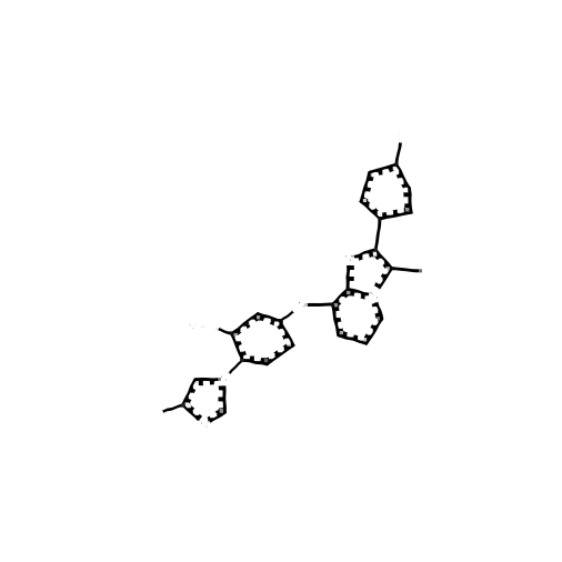 COc1cc(Nc2cccn3c(I)c(-c4ccc(F)cc4)nc23)ccc1-n1cnc(C)c1